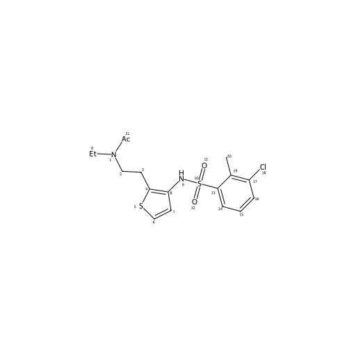 CCN(CCc1sccc1NS(=O)(=O)c1cccc(Cl)c1C)C(C)=O